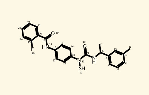 Cc1cccc(C(C)NC(=O)N(S)c2ccc(NC(=O)c3ccccc3F)cc2)c1